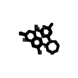 Cc1cc(N2CCCOC[C@H]2c2cc3c(cc2Cl)NC(=O)CO3)nc(N)n1